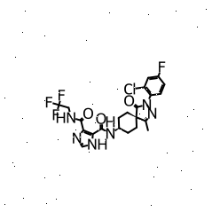 CC1=NN(c2ccc(F)cc2Cl)C(=O)[C@]12CC[C@H](NC(=O)c1[nH]cnc1C(=O)NCC(F)(F)F)CC2